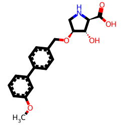 COc1cccc(-c2ccc(CO[C@H]3CN[C@@H](C(=O)O)[C@@H]3O)cc2)c1